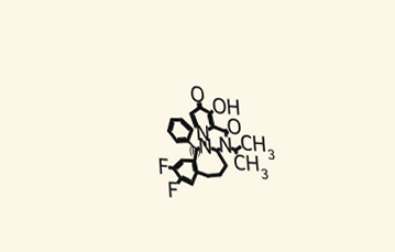 CC(C)N1C(=O)c2c(O)c(=O)ccn2N2C1CCCc1cc(F)c(F)cc1[C@H]2c1ccccc1